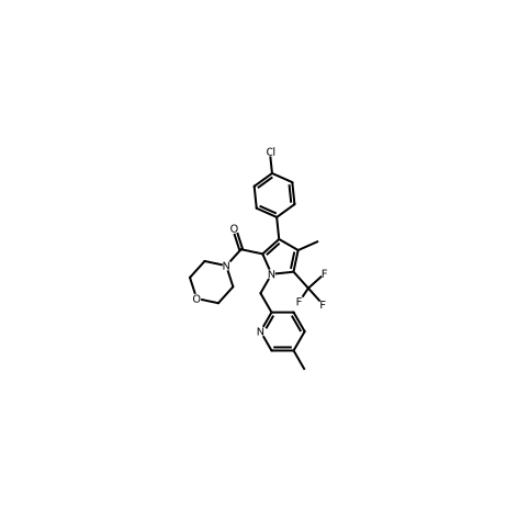 Cc1ccc(Cn2c(C(=O)N3CCOCC3)c(-c3ccc(Cl)cc3)c(C)c2C(F)(F)F)nc1